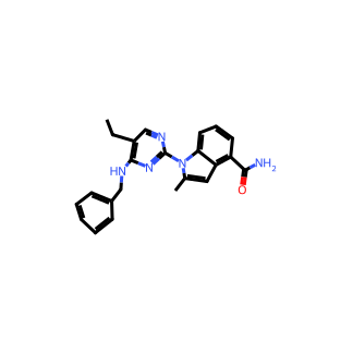 CCc1cnc(-n2c(C)cc3c(C(N)=O)cccc32)nc1NCc1ccccc1